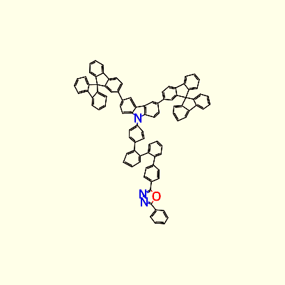 c1ccc(-c2nnc(-c3ccc(-c4ccccc4-c4ccccc4-c4ccc(-n5c6ccc(-c7ccc8c(c7)C7(c9ccccc9-c9ccccc97)c7ccccc7-8)cc6c6cc(-c7ccc8c(c7)C7(c9ccccc9-c9ccccc97)c7ccccc7-8)ccc65)cc4)cc3)o2)cc1